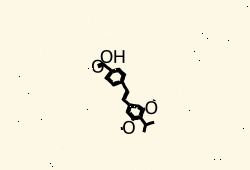 COc1cc(/C=C/c2ccc(C(=O)O)cc2)cc(OC)c1C(C)C